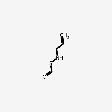 C=CCNS[C]=O